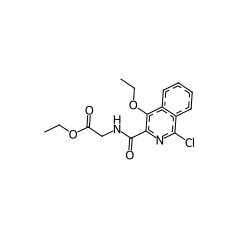 CCOC(=O)CNC(=O)c1nc(Cl)c2ccccc2c1OCC